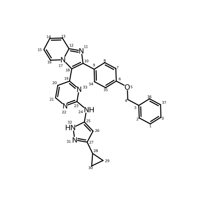 c1ccc(COc2ccc(-c3nc4ccccn4c3-c3ccnc(Nc4cc(C5CC5)n[nH]4)n3)cc2)cc1